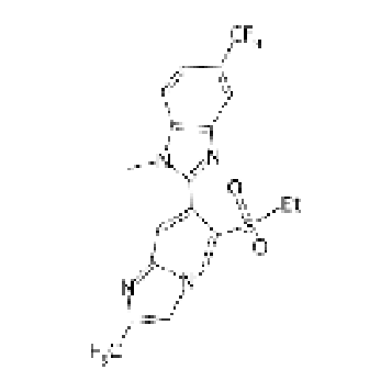 CCS(=O)(=O)c1cn2cc(C(F)(F)F)nc2cc1-c1nc2cc(C(F)(F)F)ccc2n1C